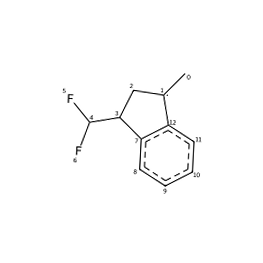 C[C]1CC(C(F)F)c2ccccc21